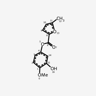 COc1ccc(OC(=O)c2ccc(C)o2)cc1O